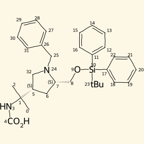 CC(C)(NC(=O)O)[C@H]1C[C@@H](CO[Si](c2ccccc2)(c2ccccc2)C(C)(C)C)N(Cc2ccccc2)C1